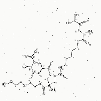 COCCOCCOC(=O)C(C)(COC(=O)NCCCCCOC(=O)[C@@H](C)OC(=O)[C@H](C)O)COC(=O)[C@H](C)OC(=O)[C@@H](C)OC(C)=O